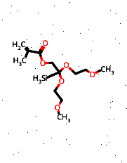 C=C(C)C(=O)OCC([SiH3])(OCCOC)OCCOC